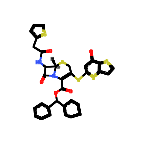 O=C(Cc1cccs1)NC1C(=O)N2C(C(=O)OC(c3ccccc3)c3ccccc3)=C(Sc3cc(=O)c4sccc4s3)CS[C@@H]12